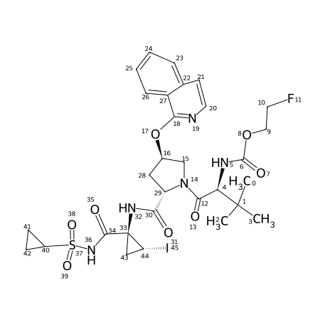 CC(C)(C)[C@H](NC(=O)OCCF)C(=O)N1C[C@H](Oc2nccc3ccccc23)C[C@H]1C(=O)N[C@]1(C(=O)NS(=O)(=O)C2CC2)C[C@H]1I